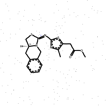 COC(=O)Cc1sc(/N=C2/SC[C@@H]3Cc4ccccc4CN23)nc1C